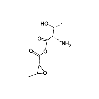 CC1OC1C(=O)OC(=O)[C@@H](N)[C@@H](C)O